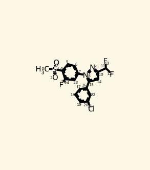 CS(=O)(=O)c1ccc(-n2nc(C(F)F)cc2-c2cccc(Cl)c2)cc1F